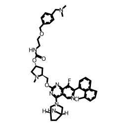 CN(C)Cc1ccc(COCCNC(=O)O[C@@H]2C[C@@H](COc3nc(N4C[C@H]5CC[C@@H](C4)N5)c4cnc(-c5cccc6cccc(Cl)c56)c(F)c4n3)N(C)C2)cc1